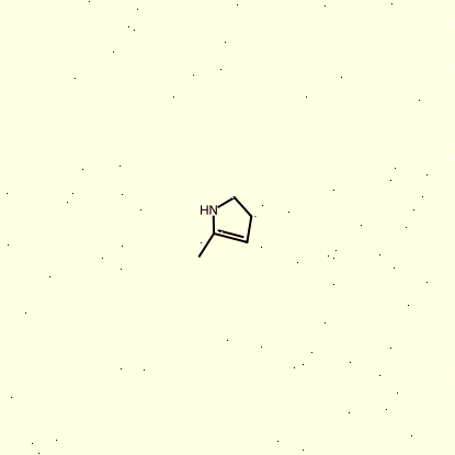 CC1=C[CH]CN1